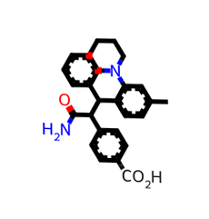 Cc1ccc(C(c2ccccc2)C(C(N)=O)c2ccc(C(=O)O)cc2)c(N2CCCCC2)c1